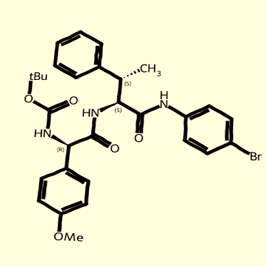 COc1ccc([C@@H](NC(=O)OC(C)(C)C)C(=O)N[C@H](C(=O)Nc2ccc(Br)cc2)[C@@H](C)c2ccccc2)cc1